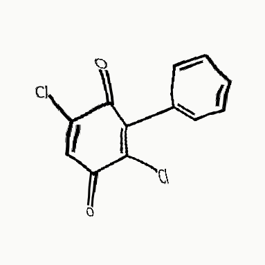 O=C1C=C(Cl)C(=O)C(c2ccccc2)=C1Cl